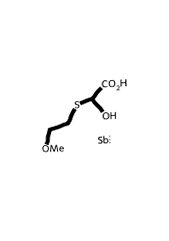 COCCSC(O)C(=O)O.[Sb]